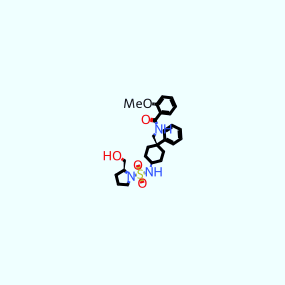 COc1ccccc1C(=O)NC[C@]1(c2ccccc2)CC[C@H](NS(=O)(=O)N2CCC[C@H]2CO)CC1